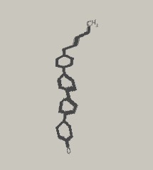 CCCCCC1CCC(c2ccc(-c3ccc(C4CCC(=O)CC4)cc3)cc2)CC1